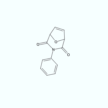 O=C1C2C=CC(O2)C(=O)N1c1ccccc1